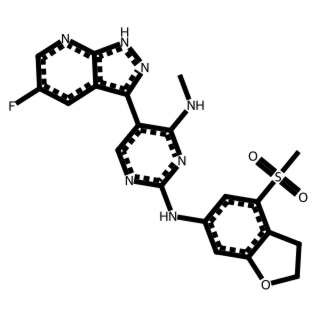 CNc1nc(Nc2cc3c(c(S(C)(=O)=O)c2)CCO3)ncc1-c1n[nH]c2ncc(F)cc12